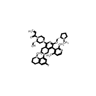 C=CC(=O)N1CCN(c2nc(OC[C@@H]3CCCN3C)c(-c3c(C)ccnc3C)c3c2CCN(c2cc(F)cc4c2N(C)CCC4)C3)C[C@@H]1CC#N